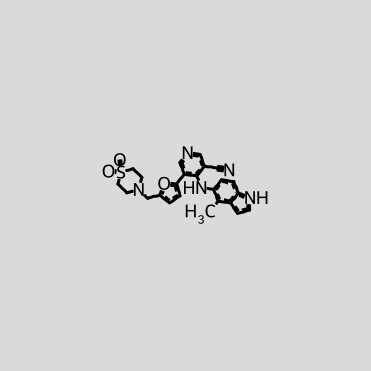 Cc1c(Nc2c(C#N)cncc2-c2ccc(CN3CCS(=O)(=O)CC3)o2)ccc2[nH]ccc12